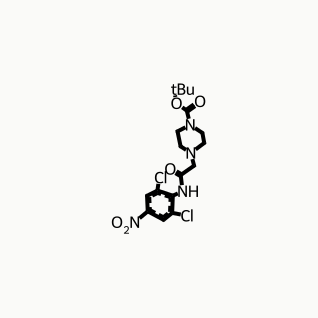 CC(C)(C)OC(=O)N1CCN(CC(=O)Nc2c(Cl)cc([N+](=O)[O-])cc2Cl)CC1